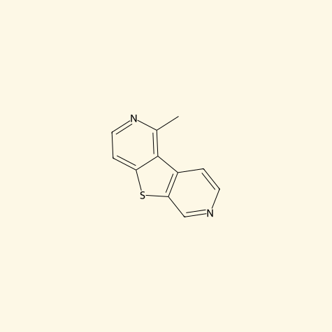 Cc1nccc2sc3cnccc3c12